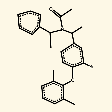 CC(=O)N(C(C)c1ccccc1)C(C)c1ccc(Oc2c(C)cccc2C)c(Br)c1